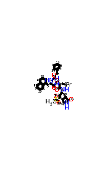 CC(C)C[C@H](NC(=O)[C@H](Cc1cccc2ccccc12)NC(=O)OCc1ccccc1)C(=O)N[C@H](/C=C/S(C)(=O)=O)C[C@@H]1CCNC1=O